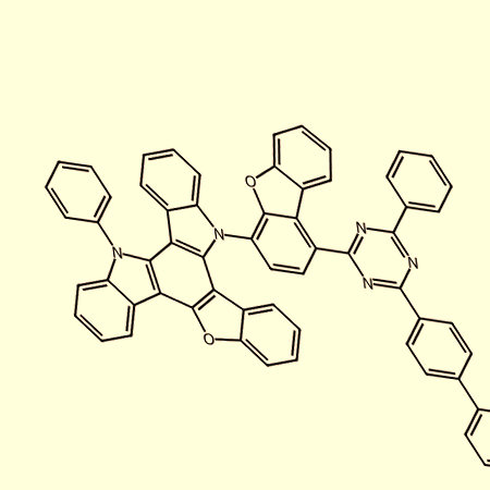 c1ccc(-c2ccc(-c3nc(-c4ccccc4)nc(-c4ccc(-n5c6ccccc6c6c7c(c8ccccc8n7-c7ccccc7)c7oc8ccccc8c7c65)c5oc6ccccc6c45)n3)cc2)cc1